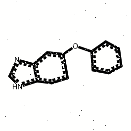 c1ccc(Oc2ccc3[nH]cnc3c2)cc1